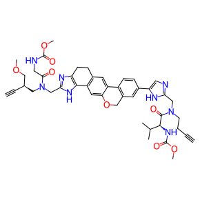 C#CCCN(Cc1ncc(-c2ccc3c(c2)COc2cc4c(cc2-3)CCc2nc(CN(C[C@@H](C#C)COC)C(=O)CNC(=O)OC)[nH]c2-4)[nH]1)C(=O)[C@@H](NC(=O)OC)C(C)C